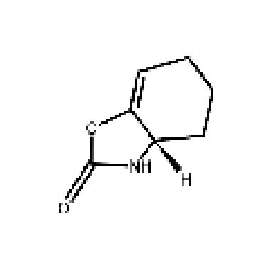 O=C1N[C@H]2CCCC=C2O1